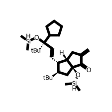 C=C1C[C@H]2[C@@H](C=C[C@@](O[SiH](C)C)(C3CCCC3)C(C)(C)C)[C@H](C(C)(C)C)C[C@@]2(O[SiH](C)C)C1=O